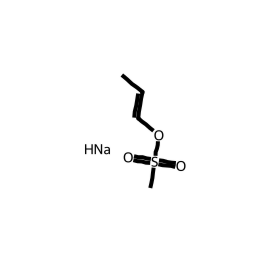 CC=COS(C)(=O)=O.[NaH]